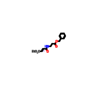 CCOC(=O)/C=C/C(=O)NCCC(=O)OCc1ccccc1